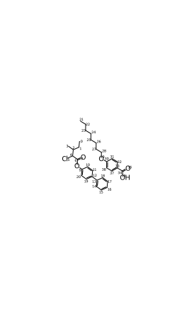 CCC(C)C(Cl)C(=O)Oc1ccc(-c2ccccc2)cc1.CCCCCCCCOc1ccc(C(=O)O)cc1